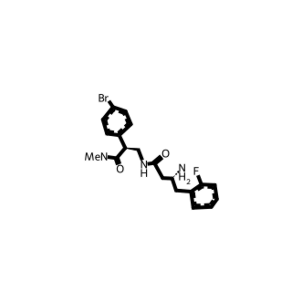 CNC(=O)[C@H](CNC(=O)C[C@H](N)Cc1ccccc1F)c1ccc(Br)cc1